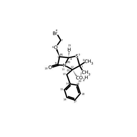 CC1(C)S[C@@H]2[C@H](OCBr)C(=O)N2[C@@]1(Cc1ccccc1)C(=O)O